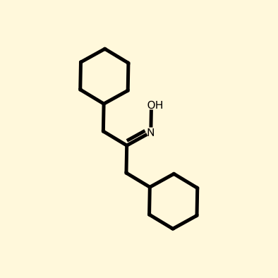 ON=C(CC1CCCCC1)CC1CCCCC1